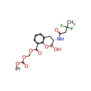 CC(C)OC(=O)OCOC(=O)c1cccc2c1OB(O)[C@@H](NC(=O)CC(C)(F)F)C2